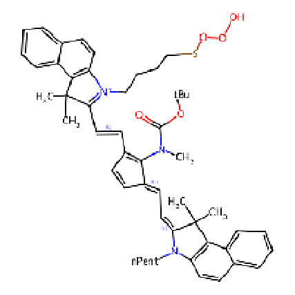 CCCCCN1/C(=C/C=C2\C=CC(/C=C/C3=[N+](CCCCSOOO)c4ccc5ccccc5c4C3(C)C)=C2N(C)C(=O)OC(C)(C)C)C(C)(C)c2c1ccc1ccccc21